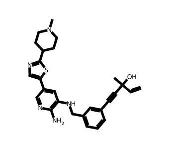 C=CC(C)(O)C#Cc1cccc(CNc2cc(-c3cnc(C4CCN(C)CC4)s3)cnc2N)c1